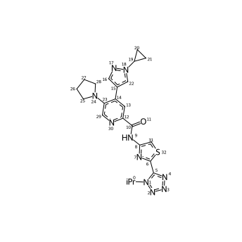 CC(C)n1nnnc1-c1nc(NC(=O)c2cc(-c3cnn(C4CC4)c3)c(N3CCCC3)cn2)cs1